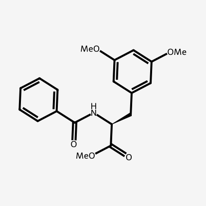 COC(=O)[C@H](Cc1cc(OC)cc(OC)c1)NC(=O)c1ccccc1